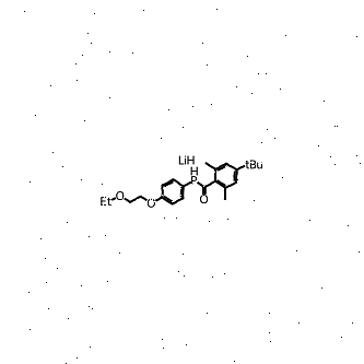 CCOCCOc1ccc(PC(=O)c2c(C)cc(C(C)(C)C)cc2C)cc1.[LiH]